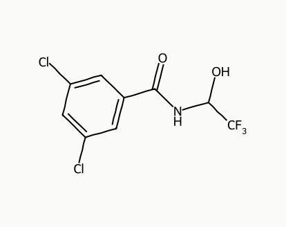 O=C(NC(O)C(F)(F)F)c1cc(Cl)cc(Cl)c1